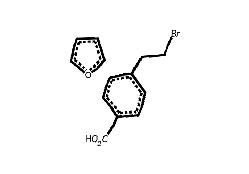 O=C(O)c1ccc(CCBr)cc1.c1ccoc1